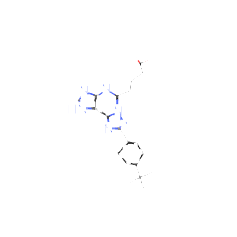 CC(C)(C)c1ccc(-c2nc3c4[nH]cnc4nc(CCCC(=O)O)n3n2)cc1